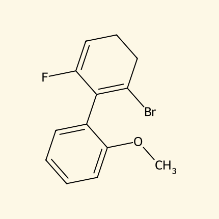 COc1ccccc1C1=C(Br)CCC=C1F